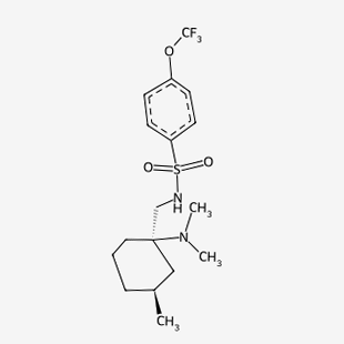 C[C@H]1CCC[C@@](CNS(=O)(=O)c2ccc(OC(F)(F)F)cc2)(N(C)C)C1